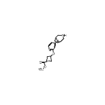 CC(C)(C)OC(=O)N1CC(Oc2cc(N3C4CCC3CNC4)ccn2)C1